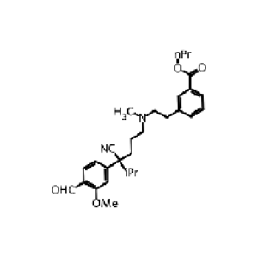 CCCOC(=O)c1cccc(CCN(C)CCCC(C#N)(c2ccc(C=O)c(OC)c2)C(C)C)c1